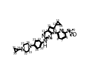 CS(C)(=O)=Nc1cccc(-n2c(C3CC3)cc3cnc(Nc4ccc(N5CCN(C6CC6)CC5)cc4)nc32)n1